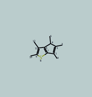 CC1=C(C)C(C)c2c1sc(C)c2C